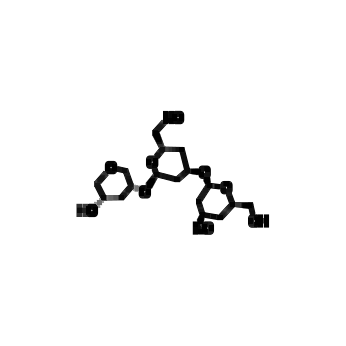 O=NC[C@H]1C[C@@H](O[C@@H]2C[C@H](N=O)C[C@H](CO)O2)C[C@@H](O[C@H]2COC[C@@H](O)C2)O1